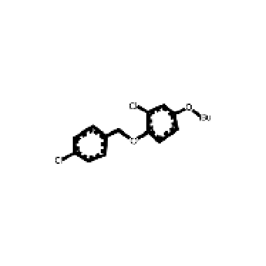 CCC(C)Oc1ccc(OCc2ccc(Cl)cc2)c(Cl)c1